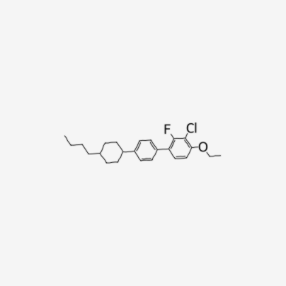 CCCCC1CCC(c2ccc(-c3ccc(OCC)c(Cl)c3F)cc2)CC1